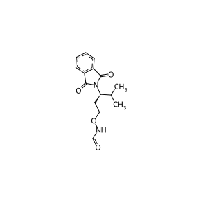 CC(C)[C@@H](CCONC=O)N1C(=O)c2ccccc2C1=O